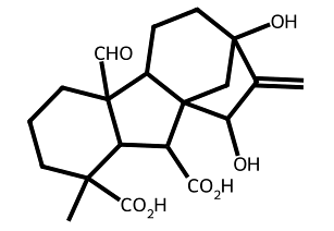 C=C1C(O)C23CC1(O)CCC2C1(C=O)CCCC(C)(C(=O)O)C1C3C(=O)O